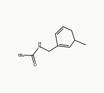 CC1C=C(CNC(=O)C(C)(C)C)C=CC1